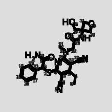 CCc1c(C#N)c(SC(C(N)=O)c2ccccc2)nc(N(C)CC(=O)NC2(CO)COC2)c1C#N